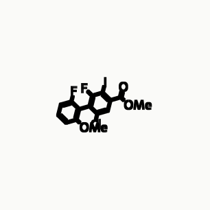 COC(=O)c1cc(Cl)c(-c2c(F)cccc2OC)c(F)c1I